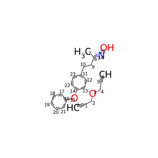 C#CCOCC#C.C/C(CCc1ccc(Oc2ccccc2)cc1)=N\O